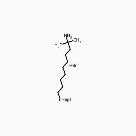 Br.CCCCCCCCCCCCCCCC(C)(C)N